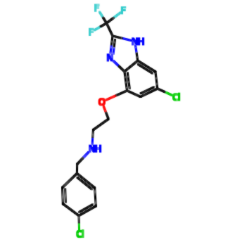 FC(F)(F)c1nc2c(OCCNCc3ccc(Cl)cc3)cc(Cl)cc2[nH]1